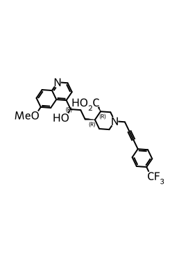 COc1ccc2nccc([C@H](O)CC[C@@H]3CCN(CC#Cc4ccc(C(F)(F)F)cc4)C[C@@H]3C(=O)O)c2c1